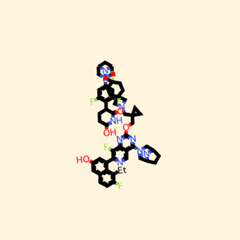 CCc1c(F)ccc2cc(O)cc(-c3ncc4c(N5CC6CCC(C5)N6)nc(OCC5(CN6CC7(CCC(F)(CN8C9CC8CN(c8cc(F)c(C%10CCC(O)NC%10=O)c(F)c8)C9)CC7)C6)CC5)nc4c3F)c12